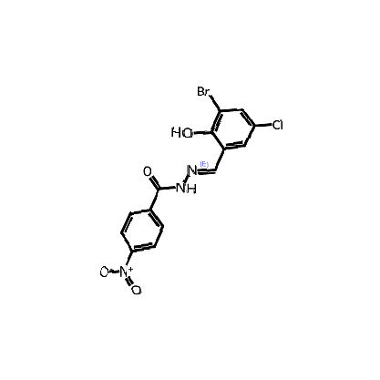 O=C(N/N=C/c1cc(Cl)cc(Br)c1O)c1ccc([N+](=O)[O-])cc1